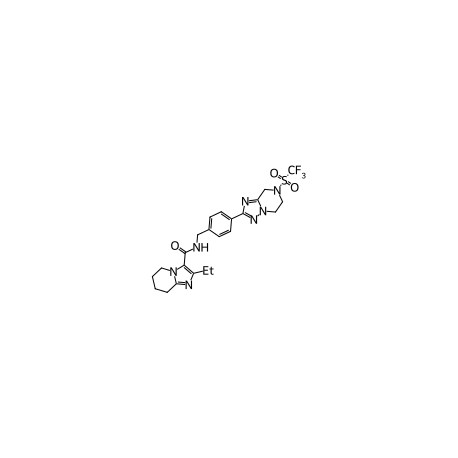 CCc1nc2n(c1C(=O)NCc1ccc(-c3nc4n(n3)CCN(S(=O)(=O)C(F)(F)F)C4)cc1)CCCC2